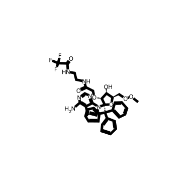 COOC[C@H]1O[C@](n2cnc3c(N)ncnc32)(C(c2ccccc2)(c2ccccc2)c2ccccc2)[C@H](OCC(=O)NCCNC(=O)C(F)(F)F)[C@@H]1O